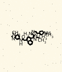 CNC1CC=C(c2cnc(N)c3c(-c4ccc(CC(=O)Nc5ccc6c(c5)ncn6C)c5ccccc45)nc(C(C)C)n23)CC1